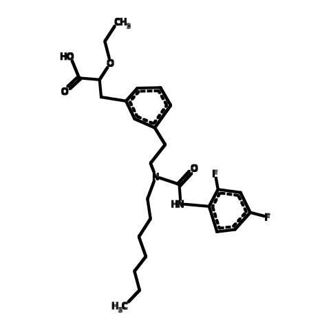 CCCCCCCN(CCc1cccc(CC(OCC)C(=O)O)c1)C(=O)Nc1ccc(F)cc1F